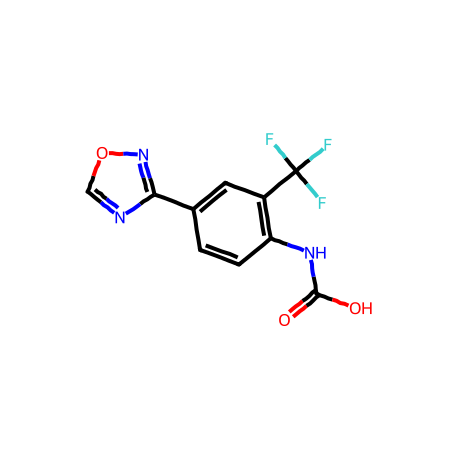 O=C(O)Nc1ccc(-c2ncon2)cc1C(F)(F)F